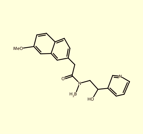 BN(CC(O)c1cccnc1)C(=O)Cc1ccc2ccc(OC)cc2c1